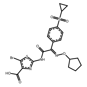 O=C(Nc1nc(C(=O)O)c(Br)s1)/C(=N/OC1CCCC1)c1ccc(S(=O)(=O)C2CC2)cc1